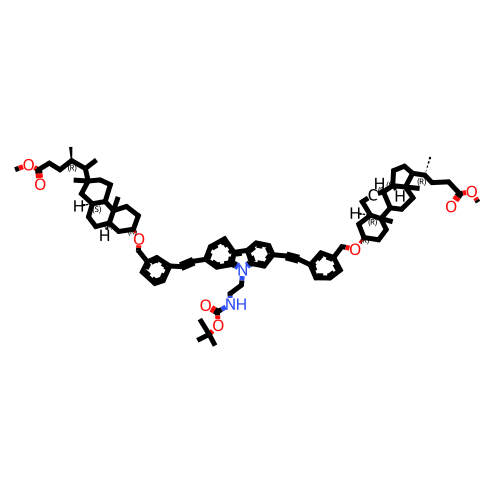 COC(=O)CC[C@@H](C)C(C)C1(C)CCC2[C@@H](CC[C@@H]3C[C@H](OCc4cccc(C#Cc5ccc6c7ccc(C#Cc8cccc(CO[C@@H]9CCC%10(C)C%11CCC%12(C)C([C@H](C)CCC(=O)OC)CC[C@H]%12[C@@H]%11CC[C@@H]%10C9)c8)cc7n(CCNC(=O)OC(C)(C)C)c6c5)c4)CCC23C)C1